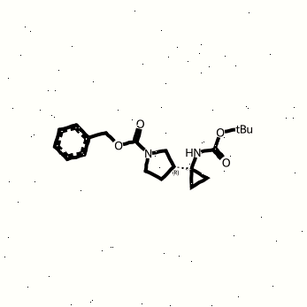 CC(C)(C)OC(=O)NC1([C@@H]2CCN(C(=O)OCc3ccccc3)C2)CC1